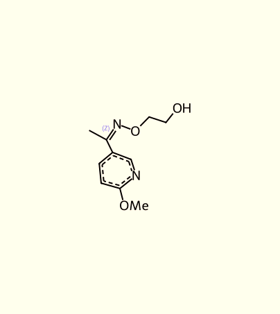 COc1ccc(/C(C)=N\OCCO)cn1